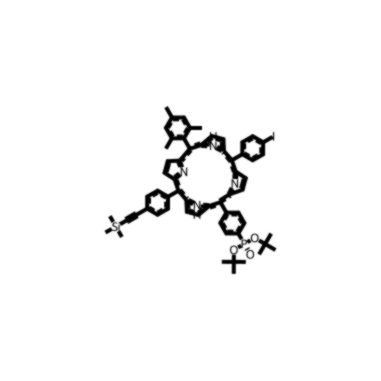 Cc1cc(C)c(-c2c3nc(c(-c4ccc(C#C[Si](C)(C)C)cc4)c4ccc([nH]4)c(-c4ccc(P(=O)(OC(C)(C)C)OC(C)(C)C)cc4)c4nc(c(-c5ccc(I)cc5)c5ccc2[nH]5)C=C4)C=C3)c(C)c1